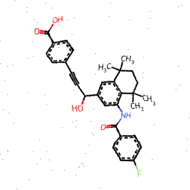 CC1(C)CCC(C)(C)c2c(NC(=O)c3ccc(F)cc3)cc(C(O)C#Cc3ccc(C(=O)O)cc3)cc21